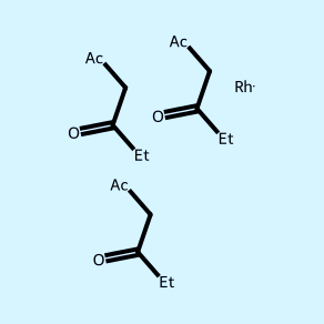 CCC(=O)CC(C)=O.CCC(=O)CC(C)=O.CCC(=O)CC(C)=O.[Rh]